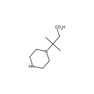 CC(C)(CC(=O)O)N1CCNCC1